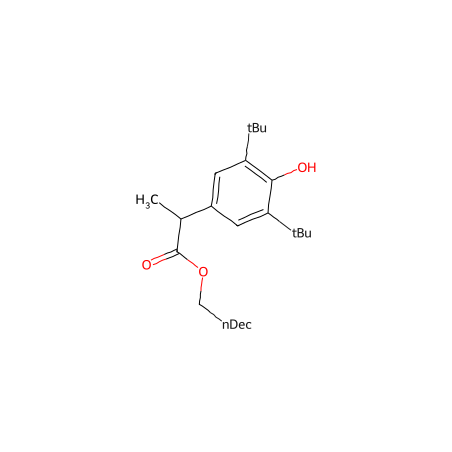 CCCCCCCCCCCOC(=O)C(C)c1cc(C(C)(C)C)c(O)c(C(C)(C)C)c1